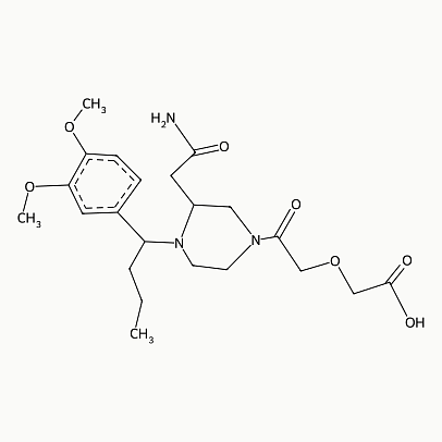 CCCC(c1ccc(OC)c(OC)c1)N1CCN(C(=O)COCC(=O)O)CC1CC(N)=O